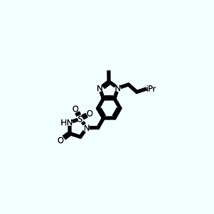 Cc1nc2cc(CN3CC(=O)NS3(=O)=O)ccc2n1CCC(C)C